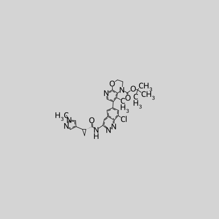 Cc1c(-c2cc(Cl)c3nnc(NC(=O)[C@@H]4CC4c4cnn(C)c4)cc3c2)cnc2c1N(C(=O)OC(C)(C)C)CCO2